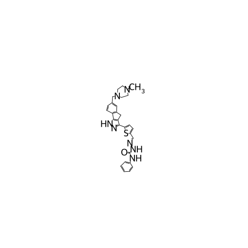 CN1CCN(Cc2ccc3c(c2)Cc2c(-c4ccc(C=NNC(=O)Nc5ccccc5)s4)n[nH]c2-3)CC1